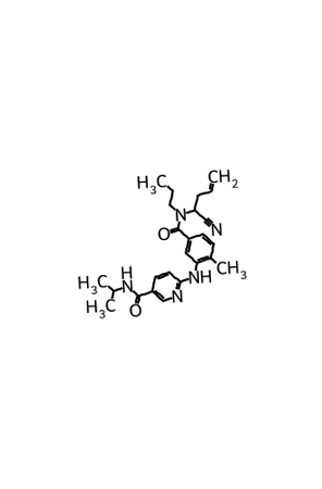 C=CCC(C#N)N(CCC)C(=O)c1ccc(C)c(Nc2ccc(C(=O)NC(C)C)cn2)c1